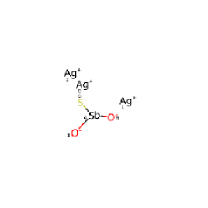 [Ag+].[Ag+].[Ag+].[O-][Sb]([O-])[S-]